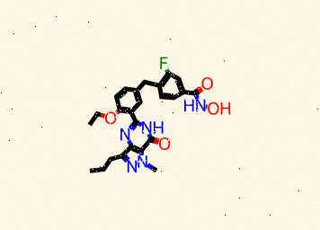 CCCc1nn(C)c2c(=O)[nH]c(-c3cc(Cc4ccc(C(=O)NO)cc4F)ccc3OCC)nc12